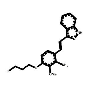 COc1c(OCCCCl)ccc(C=Cc2n[nH]c3ccccc23)c1N